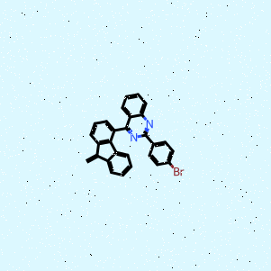 C=C1c2ccccc2-c2c1cccc2-c1nc(-c2ccc(Br)cc2)nc2ccccc12